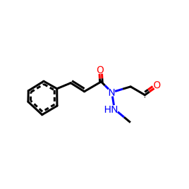 CNN(C[C]=O)C(=O)/C=C/c1ccccc1